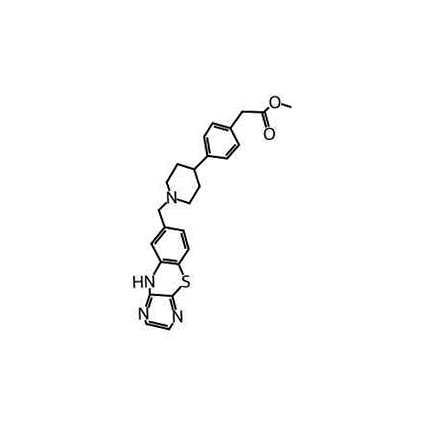 COC(=O)Cc1ccc(C2CCN(Cc3ccc4c(c3)Nc3nccnc3S4)CC2)cc1